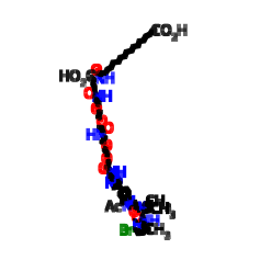 CC(=O)c1nn(CC(=O)N2CC(C)(C)C[C@H]2C(=O)Nc2nc(Br)ccc2C)c2ccc(-c3cnc(CNC(=O)COCCOCCNC(=O)COCCOCCNC(=O)CC[C@H](NC(=O)CCCCCCCCCCCCCCCCC(=O)O)C(=O)O)nc3)cc12